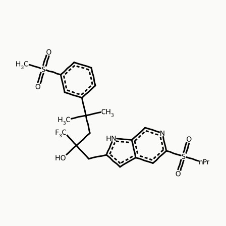 CCCS(=O)(=O)c1cc2cc(CC(O)(CC(C)(C)c3cccc(S(C)(=O)=O)c3)C(F)(F)F)[nH]c2cn1